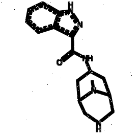 CN1C2CNCC1CC(NC(=O)c1n[nH]c3ccccc13)C2